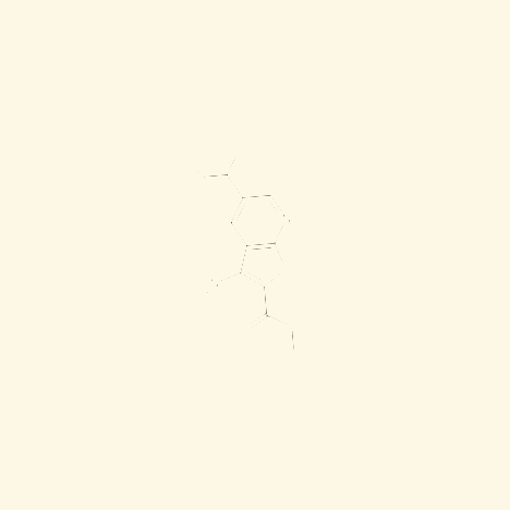 COC(=O)c1sc2ncc(C(F)F)cc2c1N